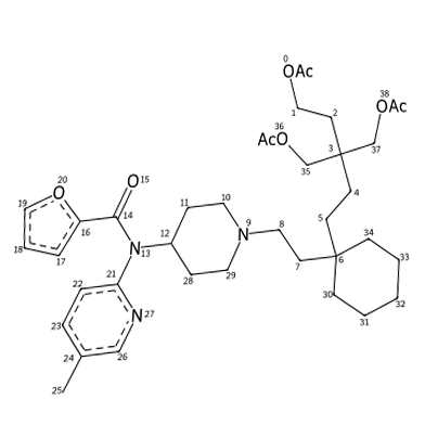 CC(=O)OCCC(CCC1(CCN2CCC(N(C(=O)c3ccco3)c3ccc(C)cn3)CC2)CCCCC1)(COC(C)=O)COC(C)=O